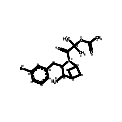 CC(=O)OC(C)(C)C(=O)N1C2CC(C2)C(N)C1Cc1cccc(Br)c1